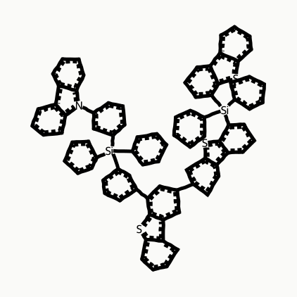 c1ccc([Si](c2ccccc2)(c2cccc(-c3cc(-c4ccc5c(c4)sc4c([Si](c6ccccc6)(c6ccccc6)c6cccc7c6sc6ccccc67)cccc45)cc4c3sc3ccccc34)c2)c2cccc(-n3c4ccccc4c4ccccc43)c2)cc1